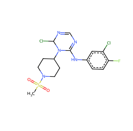 CS(=O)(=O)N1CCC(N2C(Nc3ccc(F)c(Cl)c3)=NC=NC2Cl)CC1